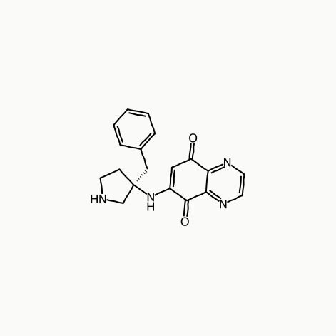 O=C1C=C(N[C@]2(Cc3ccccc3)CCNC2)C(=O)c2nccnc21